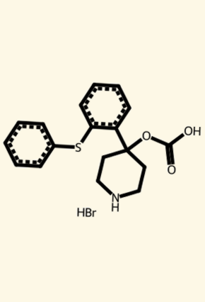 Br.O=C(O)OC1(c2ccccc2Sc2ccccc2)CCNCC1